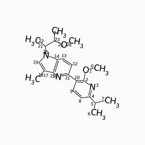 COc1nc(C(C)C)ccc1-c1ccc2c(n1)c(C)cn2C(C)C(C)OC